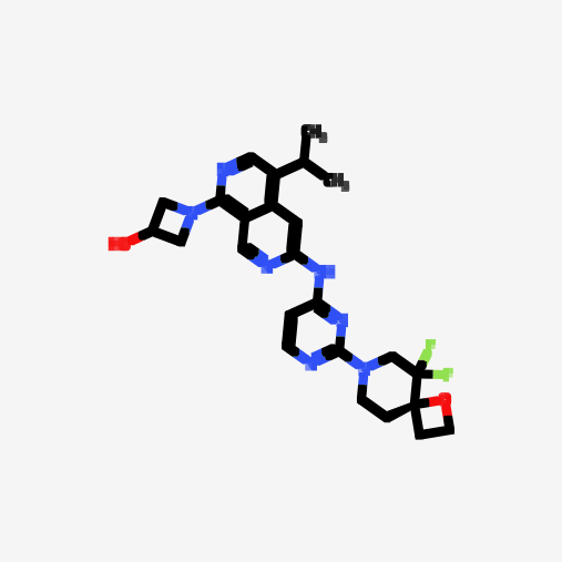 CC(C)c1cnc(N2CC(O)C2)c2cnc(Nc3ccnc(N4CC[C@@]5(CCO5)C(F)(F)C4)n3)cc12